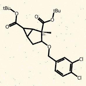 CC(C)(C)OC(=O)C1C2CC(OCc3ccc(Cl)c(Cl)c3)[C@@](C)(C(=O)OC(C)(C)C)C21